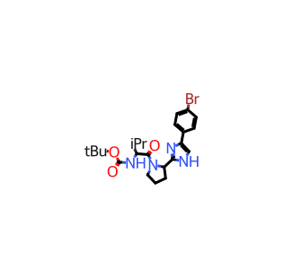 CC(C)C(NC(=O)OC(C)(C)C)C(=O)N1CCCC1c1nc(-c2ccc(Br)cc2)c[nH]1